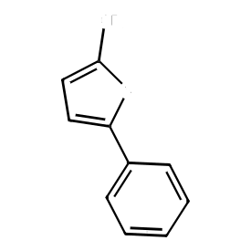 FC(F)(F)c1ccc(-c2cc[c]cc2)s1